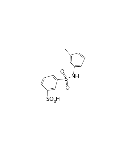 Cc1cccc(NS(=O)(=O)c2cccc(S(=O)(=O)O)c2)c1